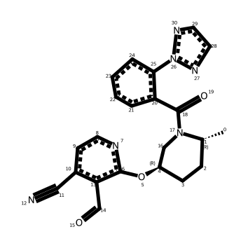 C[C@@H]1CC[C@@H](Oc2nccc(C#N)c2C=O)CN1C(=O)c1ccccc1-n1nccn1